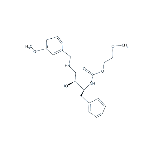 COCCOC(=O)N[C@@H](Cc1ccccc1)[C@@H](O)CNCc1cccc(OC)c1